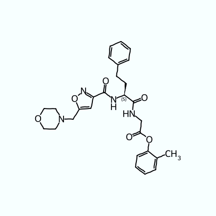 Cc1ccccc1OC(=O)CNC(=O)[C@H](CCc1ccccc1)NC(=O)c1cc(CN2CCOCC2)on1